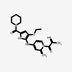 C=C1C=C(Nc2[nH]c(C(=O)N3CCCCC3)cc2OCI)C=CN1C(=O)C(C)=N